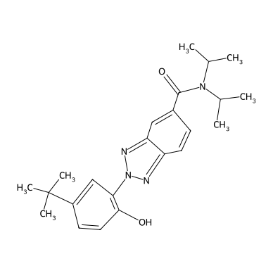 CC(C)N(C(=O)c1ccc2nn(-c3cc(C(C)(C)C)ccc3O)nc2c1)C(C)C